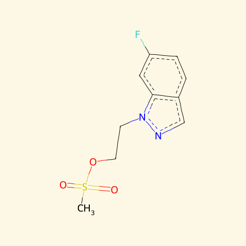 CS(=O)(=O)OCCn1ncc2ccc(F)cc21